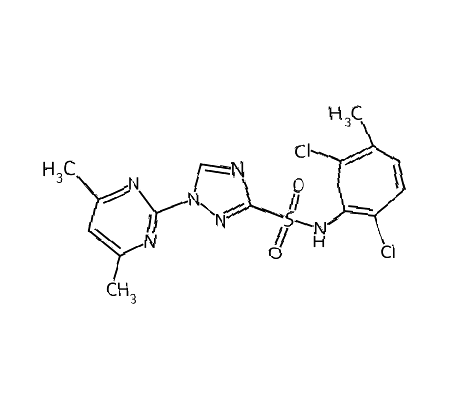 Cc1cc(C)nc(-n2cnc(S(=O)(=O)Nc3c(Cl)ccc(C)c3Cl)n2)n1